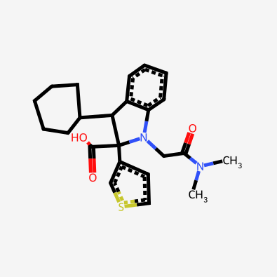 CN(C)C(=O)CN1c2ccccc2C(C2CCCCC2)C1(C(=O)O)c1ccsc1